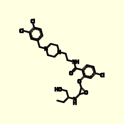 CCC(CO)NC1OC1Oc1cc(Cl)ccc1C(=O)NCCN1CCN(Cc2ccc(Cl)c(Cl)c2)CC1